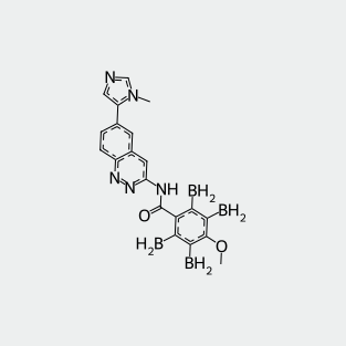 Bc1c(B)c(C(=O)Nc2cc3cc(-c4cncn4C)ccc3nn2)c(B)c(B)c1OC